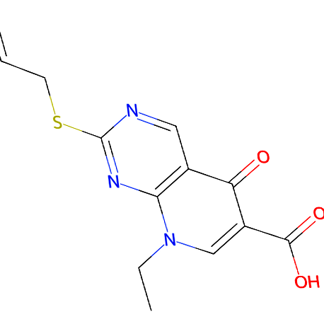 C=CCSc1ncc2c(=O)c(C(=O)O)cn(CC)c2n1